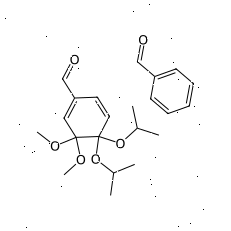 COC1(OC)C=C(C=O)C=CC1(OC(C)C)OC(C)C.O=Cc1ccccc1